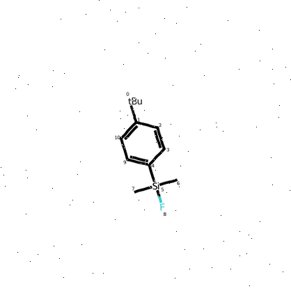 CC(C)(C)c1ccc([Si](C)(C)F)cc1